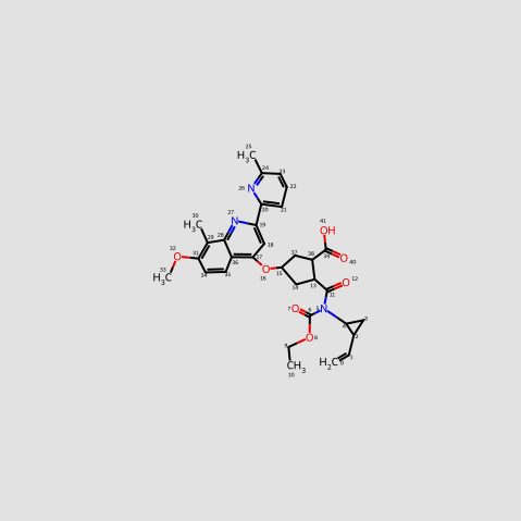 C=CC1CC1N(C(=O)OCC)C(=O)C1CC(Oc2cc(-c3cccc(C)n3)nc3c(C)c(OC)ccc23)CC1C(=O)O